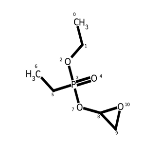 CCOP(=O)(CC)OC1CO1